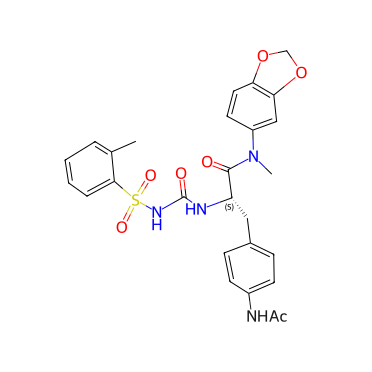 CC(=O)Nc1ccc(C[C@H](NC(=O)NS(=O)(=O)c2ccccc2C)C(=O)N(C)c2ccc3c(c2)OCO3)cc1